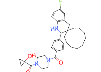 O=C(c1ccc(C2Nc3ccc(F)cc3CC23CCCCCCCCC3)cc1)N1CCN(C(=O)C2(O)CC2)CC1